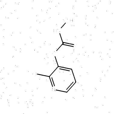 CNC(=O)Oc1cccnc1Cl